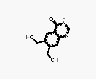 O=c1[nH]cnc2cc(CO)c(CO)cc12